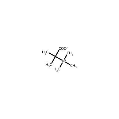 CC(C)(C(=O)[O-])[N+](C)(C)C